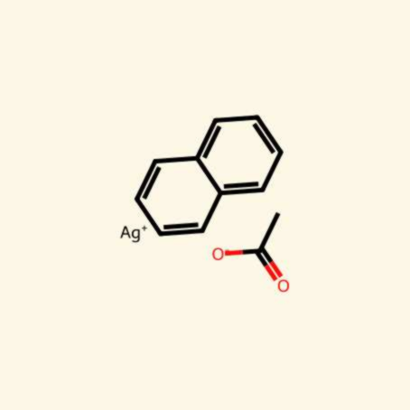 CC(=O)[O-].[Ag+].c1ccc2ccccc2c1